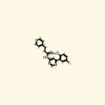 COc1ccc(F)cc1-c1cc(NC(=O)CCc2ccncc2)ncn1